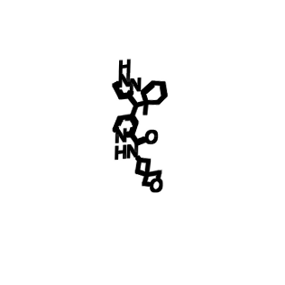 CC1(C(c2ccnc(C(=O)NC3CC4(COC4)C3)c2)c2cc[nH]n2)C=CC=CC1